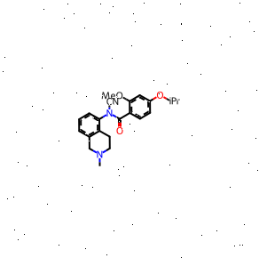 COc1cc(OC(C)C)ccc1C(=O)N(C#N)c1cccc2c1CCN(C)C2